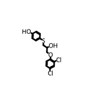 Oc1ccc(SCC(O)COc2ccc(Cl)cc2Cl)cc1